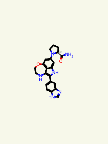 NC(=O)[C@@H]1CCCN1c1cc2c3c(c(-c4ccc5[nH]cnc5c4)[nH]c3c1)NCCO2